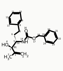 C=C(C)[C@@H](O)[C@H](CCc1ccccc1)NC(=O)OCc1ccccc1